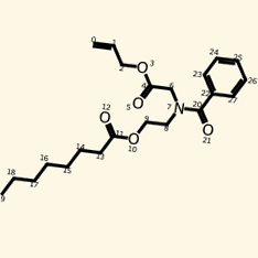 C=CCOC(=O)CN(CCOC(=O)CCCCCCC)C(=O)c1ccccc1